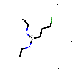 CCN[SiH](CCCCl)NCC